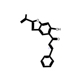 C=C(C)c1cc2cc(C(=O)/C=C/c3ccccc3)c(O)cc2o1